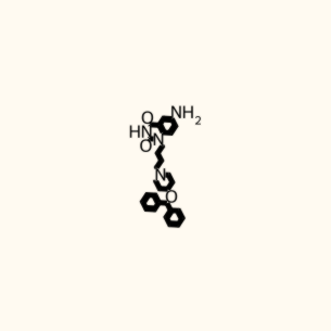 Nc1ccc2c(c1)c(=O)[nH]c(=O)n2CCCCN1CCC(OC(c2ccccc2)c2ccccc2)CC1